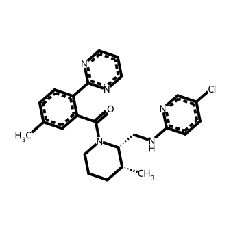 Cc1ccc(-c2ncccn2)c(C(=O)N2CCC[C@@H](C)[C@H]2CNc2ccc(Cl)cn2)c1